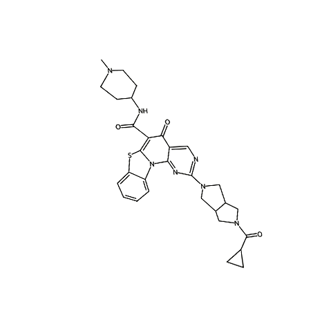 CN1CCC(NC(=O)c2c(=O)c3cnc(N4CC5CN(C(=O)C6CC6)CC5C4)nc3n3c2sc2ccccc23)CC1